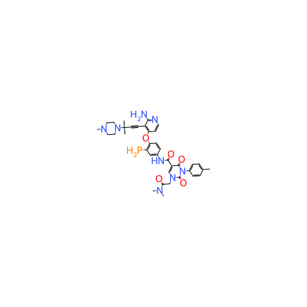 Cc1ccc(-n2c(=O)c(C(=O)Nc3ccc(Oc4ccnc(N)c4C#CC(C)(C)N4CCN(C)CC4)c(P)c3)cn(CC(=O)N(C)C)c2=O)cc1